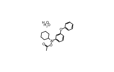 CC(=O)[O][Al]([c]1cccc(Oc2ccccc2)c1)[CH]1CCCCC1.O.O